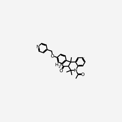 CC(=O)N1c2cc[c]cc2C(C)(c2ccc(OCc3ccncc3)cc2)C(C(N)=O)C1(C)C